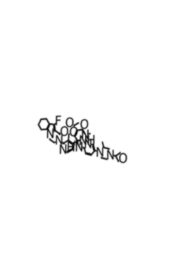 CC(=O)OCc1c([C@]2(Nc3ccc(N4CCN(C5COC5)CC4C)cn3)C=CC(=O)N(C)N2)ccnc1N1CCn2c3c(c(F)c2C1=O)CCCC3